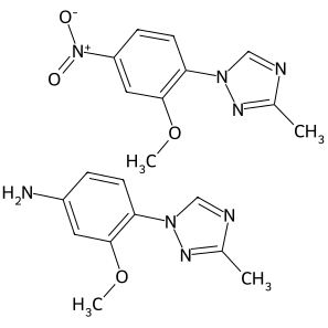 COc1cc(N)ccc1-n1cnc(C)n1.COc1cc([N+](=O)[O-])ccc1-n1cnc(C)n1